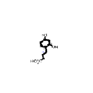 O=C(O)C/C=C/c1ccc(Cl)cc1O